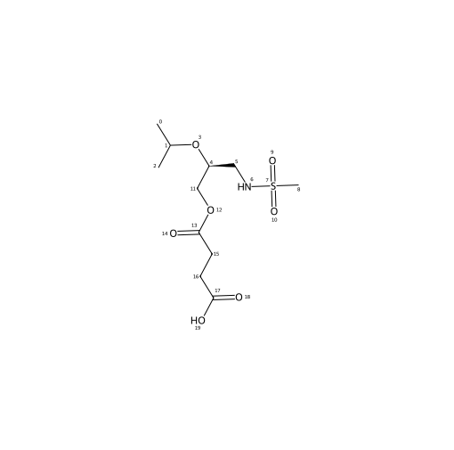 CC(C)O[C@@H](CNS(C)(=O)=O)COC(=O)CCC(=O)O